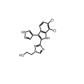 OCCn1cnc(-c2[nH]c3c(Cl)c(Cl)ccc3c2-c2cn[nH]c2)n1